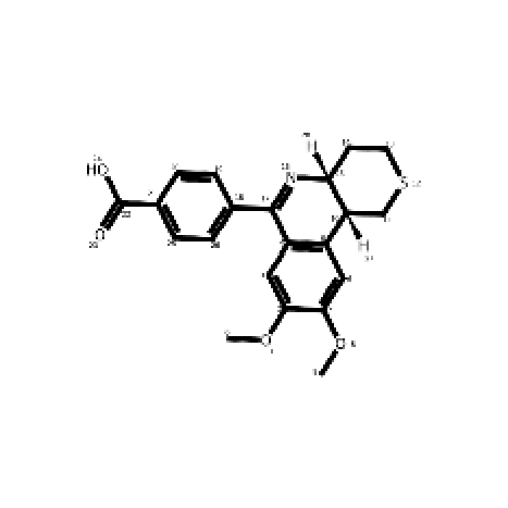 COc1cc2c(cc1OC)[C@H]1CSCC[C@H]1N=C2c1ccc(C(=O)O)cc1